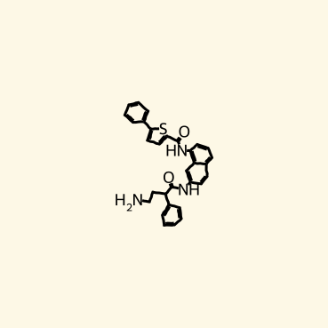 NCCC(C(=O)Nc1ccc2cccc(NC(=O)c3ccc(-c4ccccc4)s3)c2c1)c1ccccc1